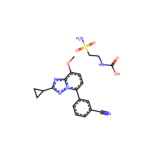 COc1ccc(-c2cccc(C#N)c2)n2nc(C3CC3)nc12.NS(=O)(=O)CCNC(=O)O